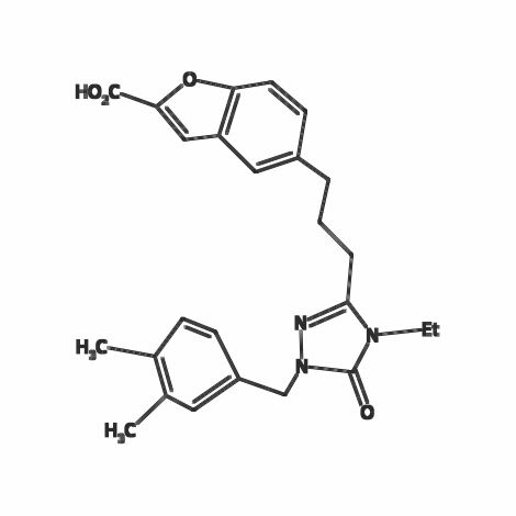 CCn1c(CCCc2ccc3oc(C(=O)O)cc3c2)nn(Cc2ccc(C)c(C)c2)c1=O